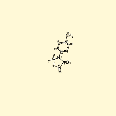 CC1(C)CNC(=O)N1c1ccc(N)cc1